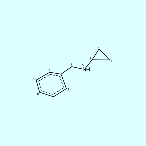 [c]1ccc(CNC2CC2)cc1